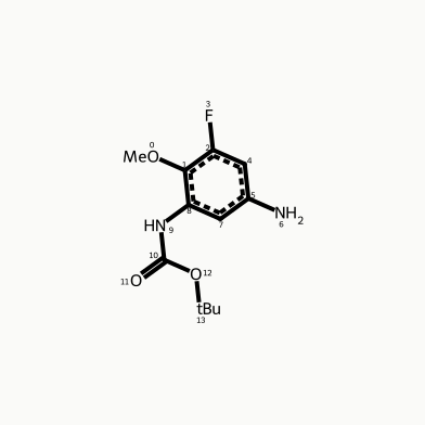 COc1c(F)cc(N)cc1NC(=O)OC(C)(C)C